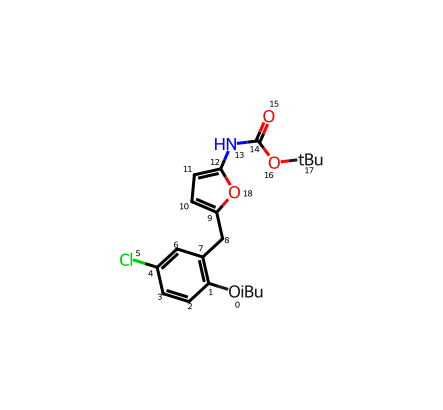 CC(C)COc1ccc(Cl)cc1Cc1ccc(NC(=O)OC(C)(C)C)o1